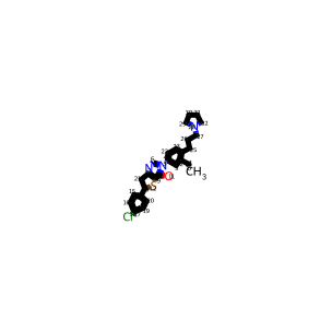 CCc1cc(-n2cnc3c(c2=O)SC(c2ccc(Cl)cc2)C3)ccc1CCCN1CCCC1